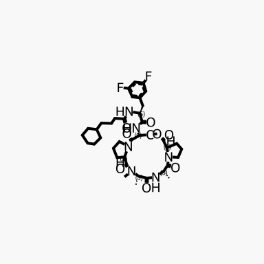 C[C@@H]1NC(=O)[C@H](C)N(C)C(=O)[C@@H]2CCCN2C(=O)[C@@H](NC(=O)[C@H](Cc2cc(F)cc(F)c2)NC(=O)CCCC2CCCCC2)COC(=O)[C@@H]2CCCN2C1=O